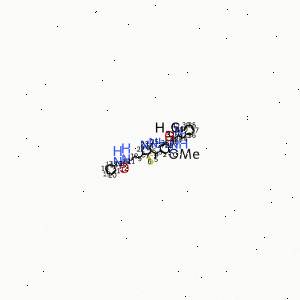 COc1cc(-c2csc3c(C=CCNC(=O)Nc4ccccc4)cnc(N)c23)ccc1NC(=O)c1cc2ccccc2n1C